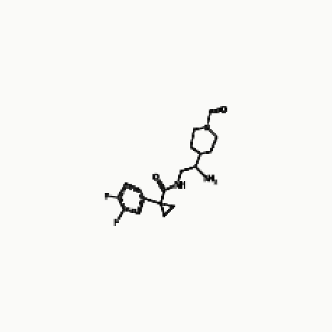 NC(CNC(=O)C1(c2ccc(F)c(F)c2)CC1)C1CCN(C=O)CC1